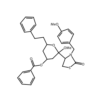 COc1ccc(CN2C(=O)SCC2C2(OC)CC(OC(=O)c3ccccc3)CC(CCc3ccccc3)O2)cc1